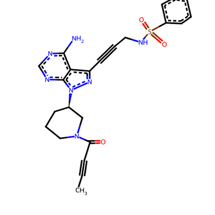 CC#CC(=O)N1CCC[C@@H](n2nc(C#CCNS(=O)(=O)c3ccccc3)c3c(N)ncnc32)C1